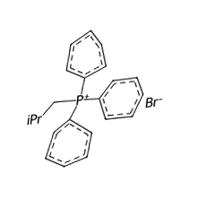 CC(C)C[P+](c1ccccc1)(c1ccccc1)c1ccccc1.[Br-]